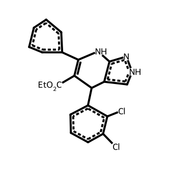 CCOC(=O)C1=C(c2ccccc2)Nc2n[nH]cc2C1c1cccc(Cl)c1Cl